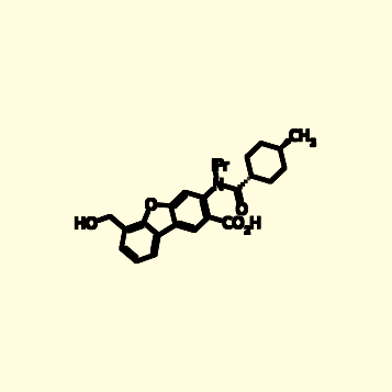 CC(C)N(c1cc2oc3c(CO)cccc3c2cc1C(=O)O)C(=O)[C@H]1CC[C@H](C)CC1